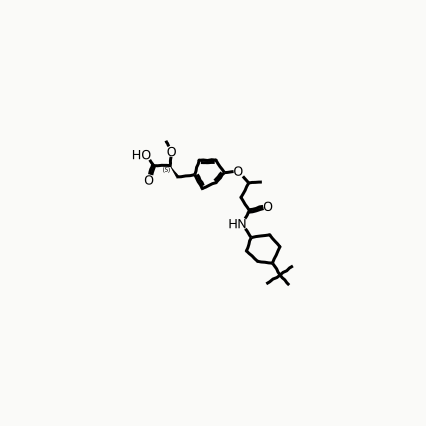 CO[C@@H](Cc1ccc(OC(C)CC(=O)NC2CCC(C(C)(C)C)CC2)cc1)C(=O)O